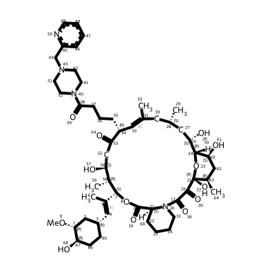 CO[C@@H]1C[C@H](/C=C(\C)[C@H]2OC(=O)[C@@H]3CCCCN3C(=O)C(=O)[C@]3(O)O[C@H]([C@@H](O)C[C@@H](C)C/C(C)=C/[C@@H](CCCC(=O)N4CCN(Cc5ccccn5)CC4)C(=O)C[C@H](O)[C@H]2C)[C@@H](O)C[C@H]3C)CC[C@H]1O